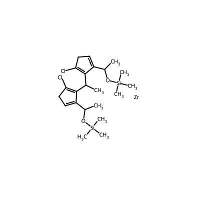 CC(O[Si](C)(C)C)C1=CCC(Cl)=C1C(C)C1=C(Cl)CC=C1C(C)O[Si](C)(C)C.[Zr]